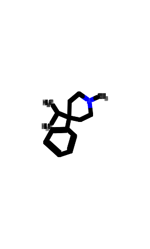 CC(C)C1(c2ccccc2)CCN(C)CC1